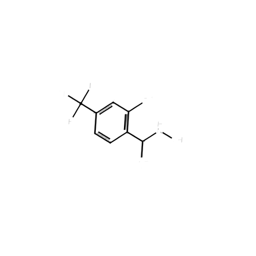 CNC(C)c1ccc(C(F)(F)F)cc1F